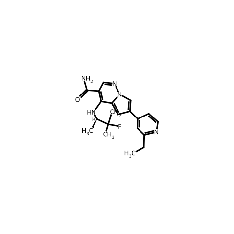 CCc1cc(-c2cc3c(N[C@H](C)C(C)(C)F)c(C(N)=O)cnn3c2)ccn1